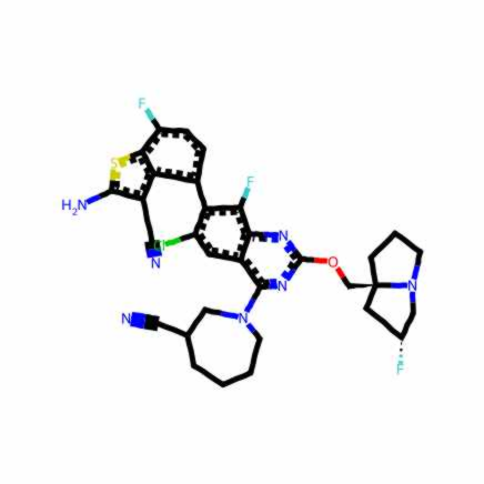 N#Cc1c(N)sc2c(F)ccc(-c3c(Cl)cc4c(N5CCCCC(C#N)C5)nc(OC[C@@]56CCCN5C[C@H](F)C6)nc4c3F)c12